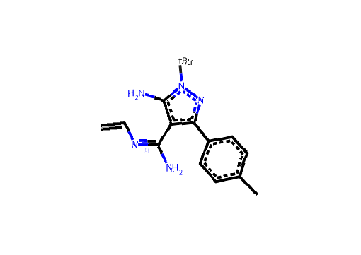 C=C/N=C(/N)c1c(-c2ccc(C)cc2)nn(C(C)(C)C)c1N